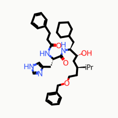 CC(C)[C@@H](CCOCc1ccccc1)C[C@@H](O)[C@H](CC1CCCCC1)NC(=O)[C@H](Cc1c[nH]cn1)NC(=O)CCc1ccccc1